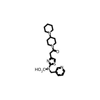 O=C(Cc1csc(N(Cc2cccnc2)C(=O)O)n1)N1CCC(N2CCCCC2)CC1